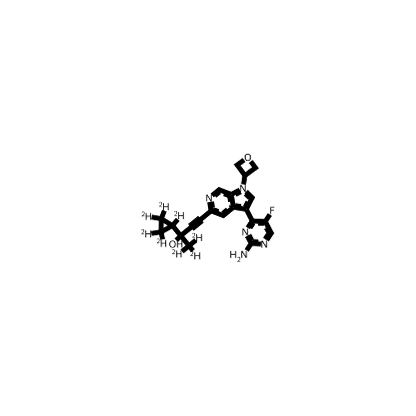 [2H]C([2H])([2H])C(O)(C#Cc1cc2c(-c3nc(N)ncc3F)cn(C3COC3)c2cn1)C1([2H])C([2H])([2H])C1([2H])[2H]